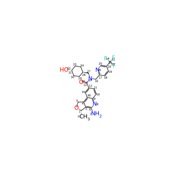 C[C@@H]1OCc2c1c(N)nc1ccc(C(=O)N(Cc3ccc(C(F)(F)F)cn3)C[C@H]3CC[C@H](O)CC3)cc21